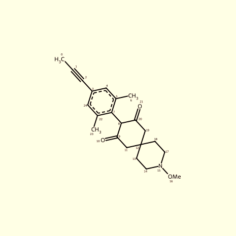 CC#Cc1cc(C)c(C2C(=O)CC3(CCN(OC)CC3)CC2=O)c(C)c1